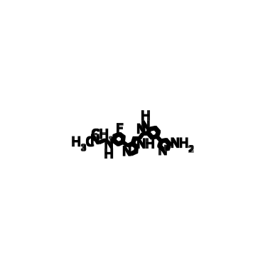 CN(C)CCNc1cc(F)cc(-c2nccc3[nH]c(-c4n[nH]c5ccc(-c6cncc(N)c6)cc45)cc23)c1